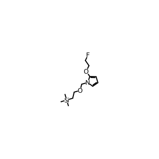 C[Si](C)(C)CCOCn1cccc1OCCF